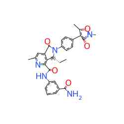 CC[C@@H]1c2c(cc(C)nc2C(=O)Nc2cccc(C(N)=O)c2)C(=O)N1c1ccc(-c2c(C)on(C)c2=O)cc1